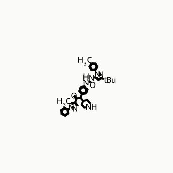 Cc1ccc(-n2nc(C(C)(C)C)cc2NC(=O)Nc2ccc(C(C(=O)c3cnn(-c4ccccc4)c3C)C3CCNCC3)cc2)cc1